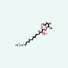 CCCCCCCCCCCCCCCCCCCCC(O)C(=O)ON1C(=O)CCC1=O